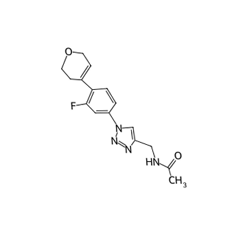 CC(=O)NCc1cn(-c2ccc(C3=CCOCC3)c(F)c2)nn1